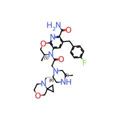 C[C@@H]1CN(CC(=O)N2c3cc(Cc4ccc(F)cc4)c(C(N)=O)nc3OC[C@@H]2C)[C@@H](CN2CCOCC23CC3)CN1